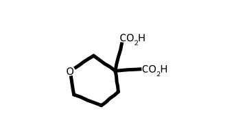 O=C(O)C1(C(=O)O)CCCOC1